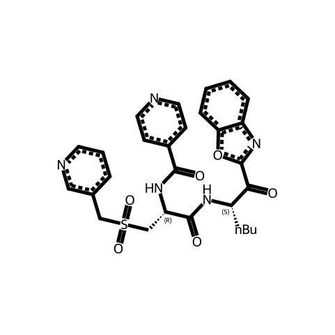 CCCC[C@H](NC(=O)[C@H](CS(=O)(=O)Cc1cccnc1)NC(=O)c1ccncc1)C(=O)c1nc2ccccc2o1